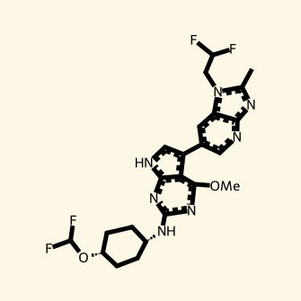 COc1nc(N[C@H]2CC[C@@H](OC(F)F)CC2)nc2[nH]cc(-c3cnc4nc(C)n(CC(F)F)c4c3)c12